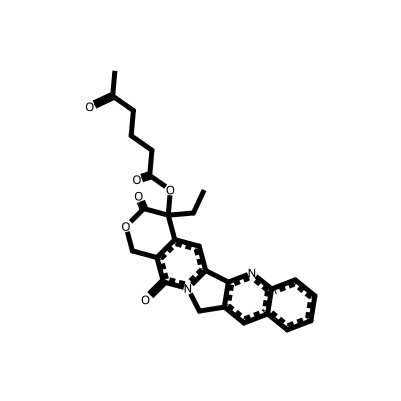 CCC1(OC(=O)CCCC(C)=O)C(=O)OCc2c1cc1n(c2=O)Cc2cc3ccccc3nc2-1